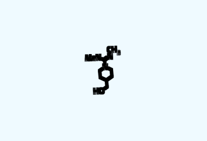 C/N=C(\NC)N1CCC(CO)CC1